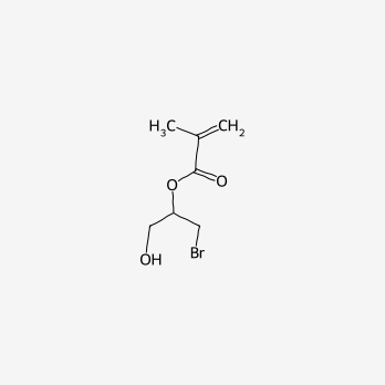 C=C(C)C(=O)OC(CO)CBr